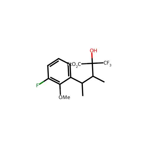 CCOC(=O)C(O)(C(C)C(C)c1cccc(F)c1OC)C(F)(F)F